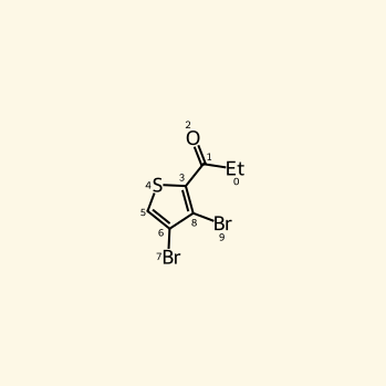 CCC(=O)c1scc(Br)c1Br